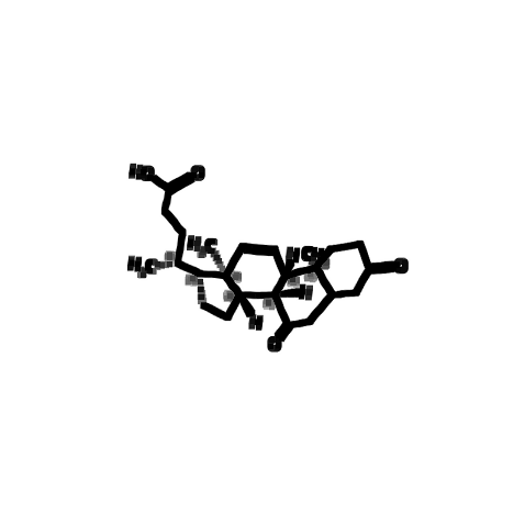 C[C@H](CCC(=O)O)[C@H]1CC[C@H]2[C@H]3C(=O)CC4CC(=O)CC[C@]4(C)[C@H]3C=C[C@]12C